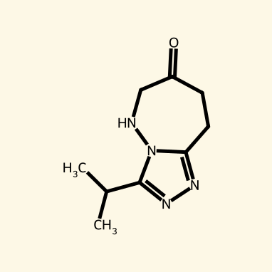 CC(C)c1nnc2n1NCC(=O)CC2